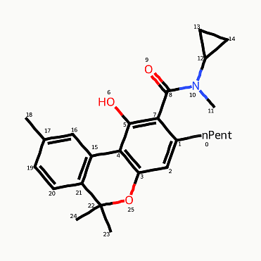 CCCCCc1cc2c(c(O)c1C(=O)N(C)C1CC1)-c1cc(C)ccc1C(C)(C)O2